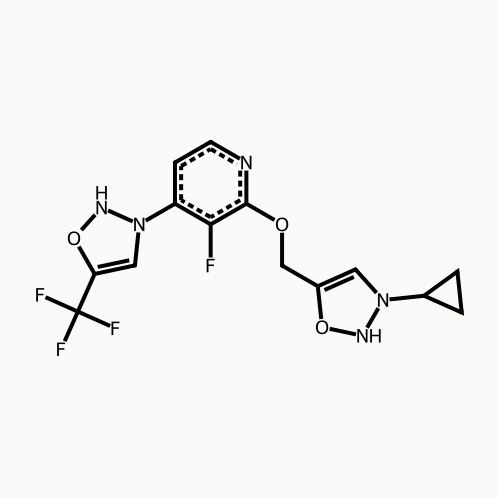 Fc1c(N2C=C(C(F)(F)F)ON2)ccnc1OCC1=CN(C2CC2)NO1